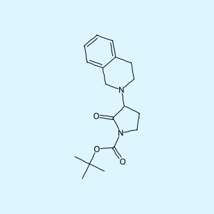 CC(C)(C)OC(=O)N1CCC(N2CCc3ccccc3C2)C1=O